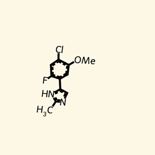 COc1cc(-c2cnc(C)[nH]2)c(F)cc1Cl